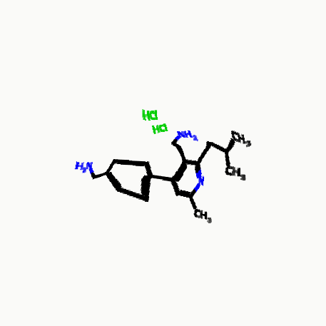 Cc1cc(-c2ccc(CN)cc2)c(CN)c(CC(C)C)n1.Cl.Cl